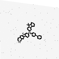 CC1(C)c2ccccc2-c2cc(N(c3ccc(-c4ccccc4)cc3)c3ccc4c(c3)sc3cc5ccncc5cc34)ccc21